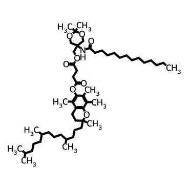 CCCCCCCCCCCCCC(=O)NC1(COC(=O)CCC(=O)Oc2c(C)c(C)c3c(c2C)CCC(C)(CCCC(C)CCCC(C)CCCC(C)C)O3)COC(C)(C)OC1